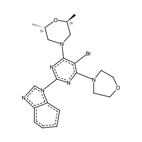 C[C@H]1CN(c2nc(-n3cnc4ccccc43)nc(N3CCOCC3)c2Br)C[C@H](C)O1